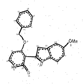 COc1ccc2[nH]c(-c3c(OCc4ccccc4)cc[nH]c3=O)cc2c1